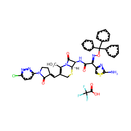 Nc1nc(C(=NOC(c2ccccc2)(c2ccccc2)c2ccccc2)C(=O)N[C@@H]2C(=O)N3C(C(=O)O)=C(C=C4CCN(c5ccc(Cl)nn5)C4=O)CS[C@H]23)cs1.O=C(O)C(F)(F)F